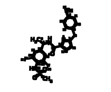 C[C@@H](NC(=O)c1nc(Cc2ccc(C(C)(C)C)cc2)cs1)c1cc(F)c(NS(C)(=O)=O)c(F)c1